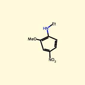 CCNc1ccc([N+](=O)[O-])cc1OC